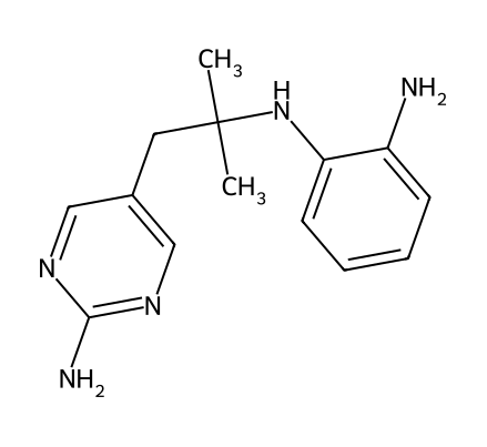 CC(C)(Cc1cnc(N)nc1)Nc1ccccc1N